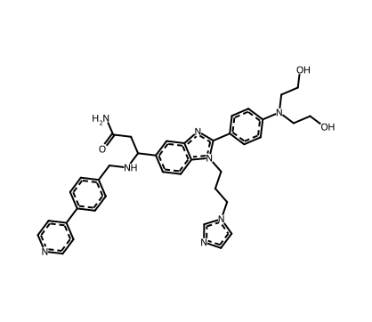 NC(=O)CC(NCc1ccc(-c2ccncc2)cc1)c1ccc2c(c1)nc(-c1ccc(N(CCO)CCO)cc1)n2CCCn1ccnc1